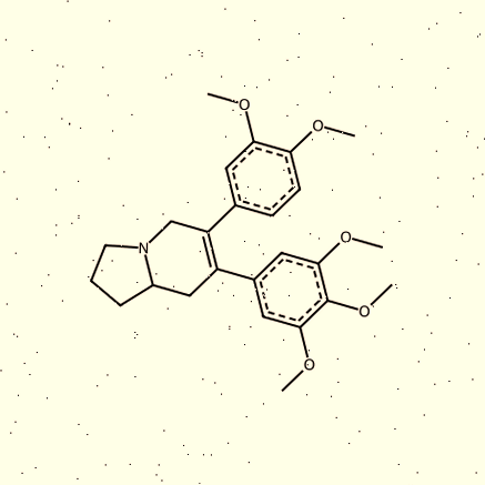 COc1ccc(C2=C(c3cc(OC)c(OC)c(OC)c3)CC3CCCN3C2)cc1OC